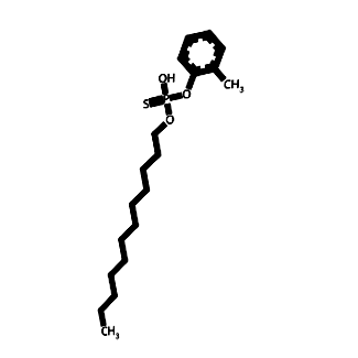 CCCCCCCCCCCCOP(O)(=S)Oc1ccccc1C